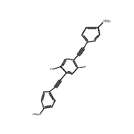 CCCCCCCCCCc1ccc(C#Cc2cc(F)c(C#Cc3ccc(CCCCCCCCC)cc3)cc2F)cc1